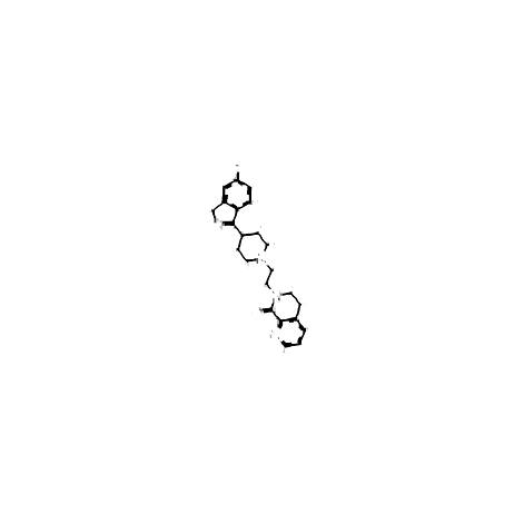 O=C1c2ncccc2CCN1CCN1CCC(C2=NCc3cc(F)ccc32)CC1